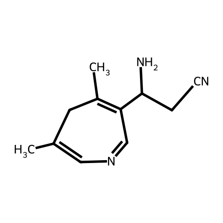 CC1=CN=CC(C(N)CC#N)=C(C)C1